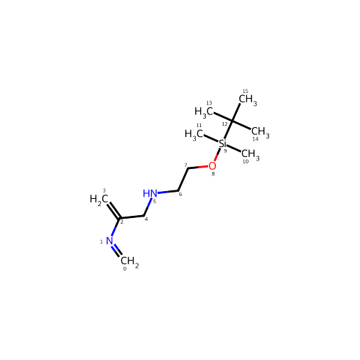 C=NC(=C)CNCCO[Si](C)(C)C(C)(C)C